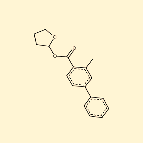 Cc1cc(-c2ccccc2)ccc1C(=O)OC1CCCO1